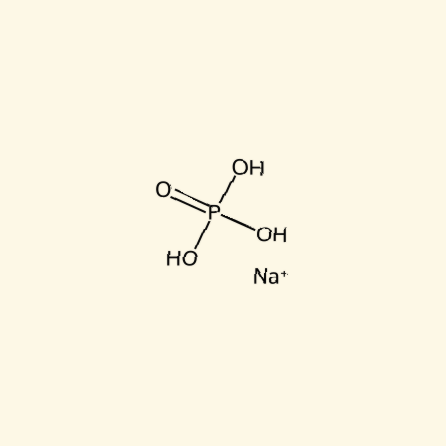 O=P(O)(O)O.[Na+]